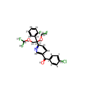 O=C(c1ccc(Cl)cc1)c1ccc(C(COC(F)F)(OC(F)F)c2ccccc2)nc1